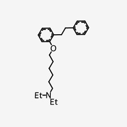 CCN(CC)CCCCCCOc1ccccc1CCc1ccccc1